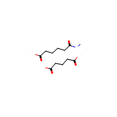 CNC(=O)CCCCC(=O)O.O=C(O)CCCC(=O)O